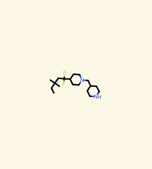 CCC(C)(C)CC(F)(F)C1CCN(CC2CCNCC2)CC1